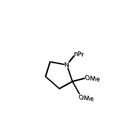 CCCN1CCCC1(OC)OC